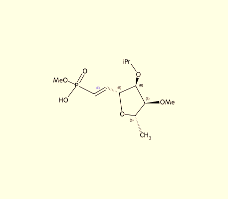 CO[C@@H]1[C@H](OC(C)C)[C@@H](/C=C/P(=O)(O)OC)O[C@H]1C